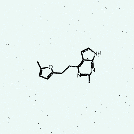 Cc1nc(CCc2ccc(C)o2)c2cc[nH]c2n1